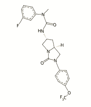 CN(C(=O)N[C@@H]1C[C@H]2CN(c3ccc(OC(F)(F)F)cc3)C(=O)N2C1)c1cccc(F)c1